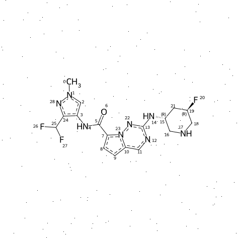 Cn1cc(NC(=O)c2ccc3cnc(N[C@H]4CNC[C@H](F)C4)nn23)c(C(F)F)n1